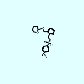 Cc1ccc(S(=O)(=O)OCc2ccccc2COC2CCCCO2)cc1